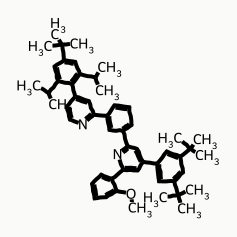 COc1ccccc1-c1cc(-c2cc(C(C)(C)C)cc(C(C)(C)C)c2)cc(-c2cccc(-c3cc(-c4c(C(C)C)cc(C(C)(C)C)cc4C(C)C)ccn3)c2)n1